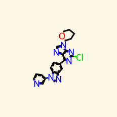 Clc1nc(-c2ccc3c(c2)ncn3-c2cccnc2)c2ncn(C3CCCCO3)c2n1